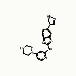 C1=NNCC1c1ccc2nc(Nc3cc(N4CCNCC4)ccn3)sc2n1